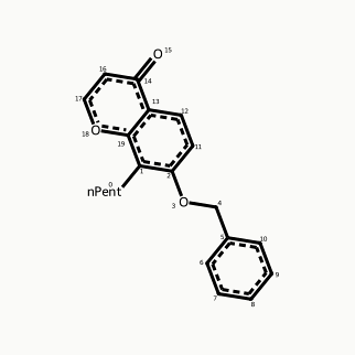 CCCCCc1c(OCc2ccccc2)ccc2c(=O)ccoc12